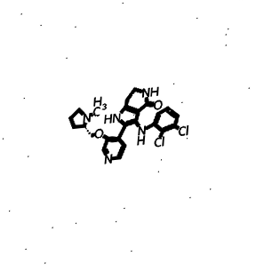 CN1CCC[C@H]1COc1cnccc1-c1[nH]c2c(c1Nc1cccc(Cl)c1Cl)C(=O)NCC2